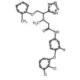 Cc1ccccc1OCC(c1nnn[nH]1)N(C)CC(=O)Nc1ccc(Oc2cccc(Cl)c2Cl)c(F)c1